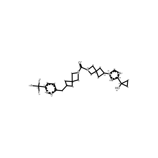 O=C(N1CC2(CC(Cc3ccc(C(F)(F)F)nn3)C2)C1)N1CC2(CC(n3cnc(C4(O)CC4)n3)C2)C1